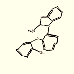 CC(C)(C)c1ccccc1Oc1ncccc1N1c2ccccc2SC1N